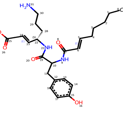 CCCCC/C=C/C(=O)NC(Cc1ccc(O)cc1)C(=O)N[C@H](/C=C/C(=O)O)CCCN